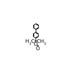 CC(C)(OC=O)c1ccc(-c2ccccc2)cc1